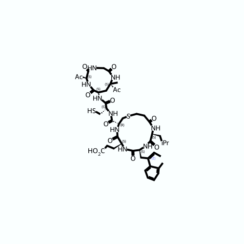 C/C=C(/C[C@@H]1NC(=O)[C@H](CC(C)C)NC(=O)CCSC[C@@H](C(=O)N[C@H](CS)C(=O)N[C@H]2C[C@@](C)(C(C)=O)NC(=O)CNC(=O)[C@H](C(C)=O)NC2=O)NC(=O)[C@H](CCC(=O)O)NC1=O)c1ccccc1C